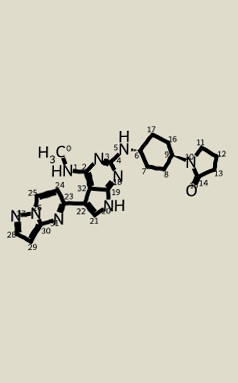 CNc1nc(N[C@H]2CC[C@H](N3CCCC3=O)CC2)nc2[nH]cc(-c3ccn4nccc4n3)c12